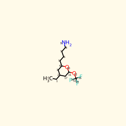 CCC1CC(CCCCN)OC(OC(F)(F)F)C1